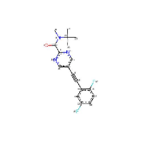 CN(C(=O)c1ncc(C#Cc2cc(F)ccc2F)cn1)C(C)(C)C